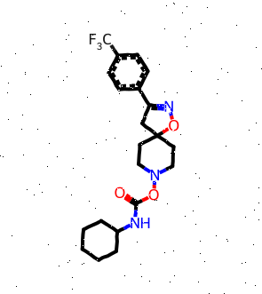 O=C(NC1CCCCC1)ON1CCC2(CC1)CC(c1ccc(C(F)(F)F)cc1)=NO2